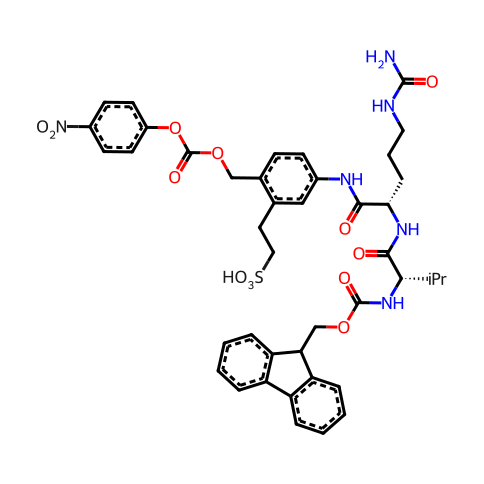 CC(C)[C@H](NC(=O)OCC1c2ccccc2-c2ccccc21)C(=O)N[C@@H](CCCNC(N)=O)C(=O)Nc1ccc(COC(=O)Oc2ccc([N+](=O)[O-])cc2)c(CCS(=O)(=O)O)c1